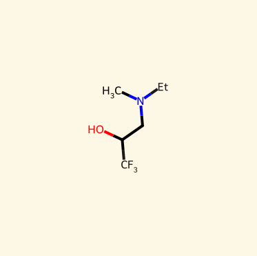 CCN(C)CC(O)C(F)(F)F